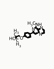 CNc1nc(-c2ccc(OCC(C)(C)O)cc2)cc2nccnc12